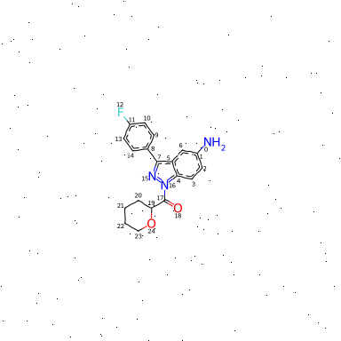 Nc1ccc2c(c1)c(-c1ccc(F)cc1)nn2C(=O)C1CCCCO1